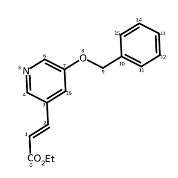 CCOC(=O)C=Cc1cncc(OCc2ccccc2)c1